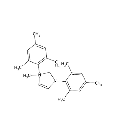 Cc1cc(C)c(N2C=C[N+](C)(c3c(C)cc(C)cc3C)C2)c(C)c1